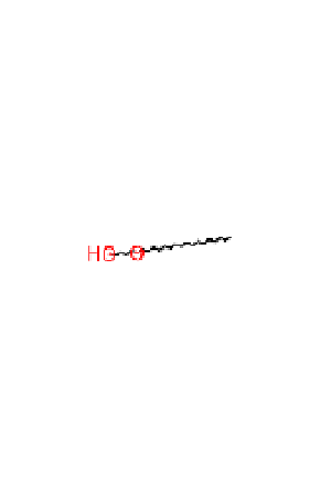 CCCCCCCCCCCCCCCCCOCCCCO